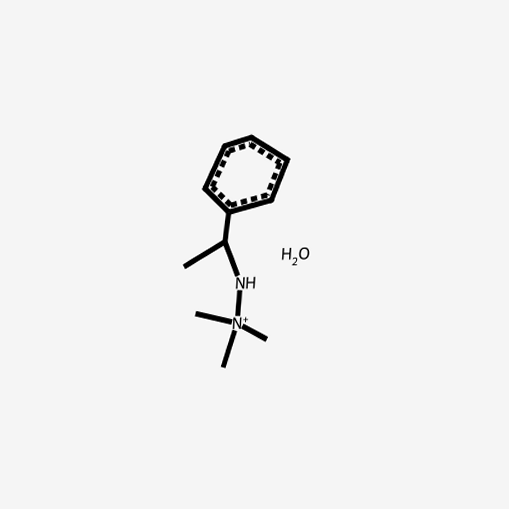 CC(N[N+](C)(C)C)c1ccccc1.O